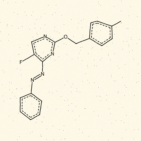 Cc1ccc(COc2ncc(F)c(/N=N/c3ccccc3)n2)cc1